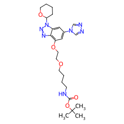 CC(C)(C)OC(=O)NCCCCOCCOc1cc(-n2cnnc2)cc2c1nnn2C1CCCCO1